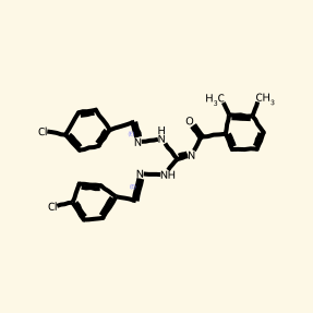 Cc1cccc(C(=O)N=C(N/N=C/c2ccc(Cl)cc2)N/N=C/c2ccc(Cl)cc2)c1C